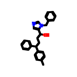 Cc1ccc(C(CCC(O)c2cncn2Cc2ccccc2)c2ccccc2)cc1